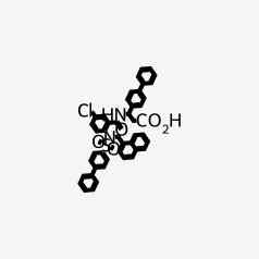 O=C(O)CC(NC(=O)c1cc(Cl)ccc1N(Cc1cccc2ccccc12)S(=O)(=O)c1ccc(-c2ccccc2)cc1)c1ccc(-c2ccccc2)cc1